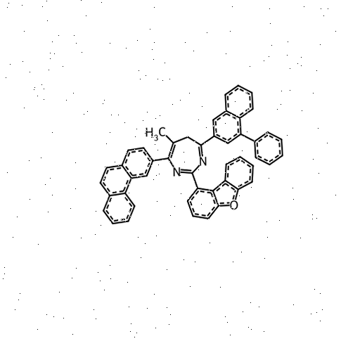 CC1=C(c2ccc3ccc4ccccc4c3c2)N=C(c2cccc3oc4ccccc4c23)N=C(c2cc(-c3ccccc3)c3ccccc3c2)C1